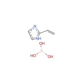 C=Cc1ncc[nH]1.OB(O)O